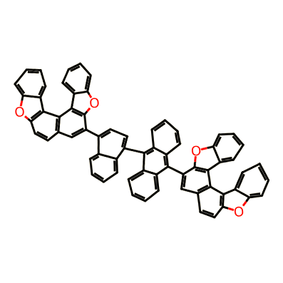 c1ccc2c(c1)oc1ccc3cc(-c4ccc(-c5c6ccccc6c(-c6cc7ccc8oc9ccccc9c8c7c7c6oc6ccccc67)c6ccccc56)c5ccccc45)c4oc5ccccc5c4c3c12